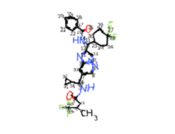 CC(CC(=O)N[C@H](c1cnn2cc([C@@H](NC(=O)c3ccccc3)C3CCC(F)(F)CC3)nc2c1)C1CC1)C(F)(F)F